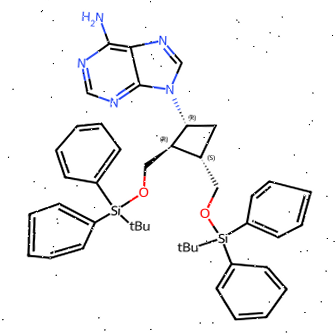 CC(C)(C)[Si](OC[C@H]1C[C@@H](n2cnc3c(N)ncnc32)[C@@H]1CO[Si](c1ccccc1)(c1ccccc1)C(C)(C)C)(c1ccccc1)c1ccccc1